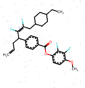 C=CCC(/C(F)=C(/F)CC1CCC(CC)CC1)c1ccc(C(=O)Oc2ccc(OC)c(F)c2F)cc1